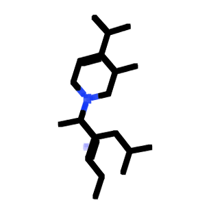 CC/C=C(\CC(C)C)C(C)N1CC=C(C(C)C)C(C)C1